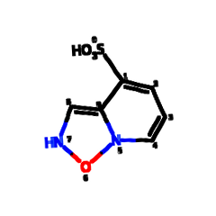 O=S(=O)(O)C1=CC=CN2ONC=C12